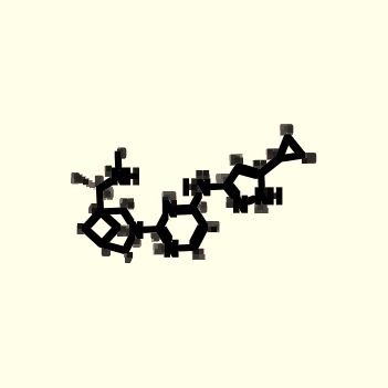 CN[C@@H](C)C12CC(CN(c3nccc(Nc4cc(C5CC5)[nH]n4)n3)C1)C2